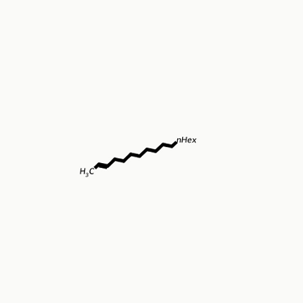 CC=CCCCCCCCCCCCCCC